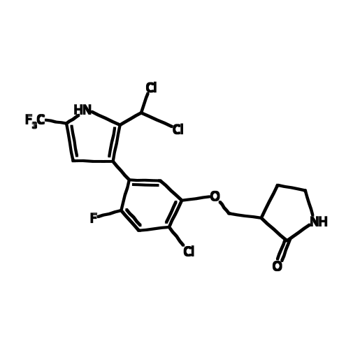 O=C1NCCC1COc1cc(-c2cc(C(F)(F)F)[nH]c2C(Cl)Cl)c(F)cc1Cl